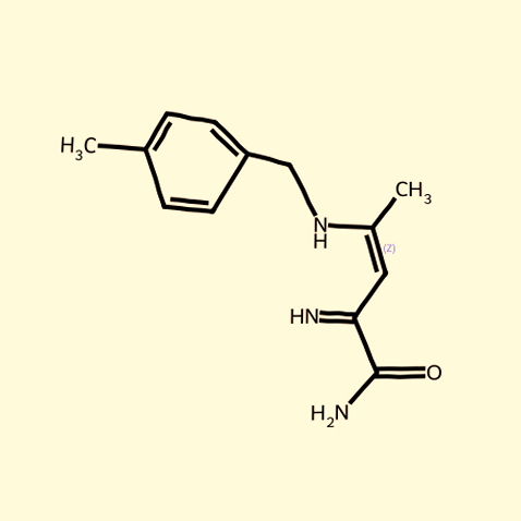 C/C(=C/C(=N)C(N)=O)NCc1ccc(C)cc1